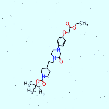 CCOC(=O)COc1ccc(N2CCN(CCC3CCN(C(=O)OC(C)(C)C)CC3)C(=O)C2)cc1